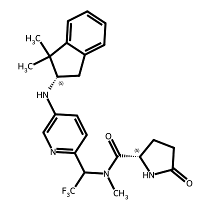 CN(C(=O)[C@@H]1CCC(=O)N1)C(c1ccc(N[C@H]2Cc3ccccc3C2(C)C)cn1)C(F)(F)F